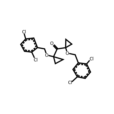 O=C(C1(OCc2cc(Cl)ccc2Cl)CC1)C1(OCc2cc(Cl)ccc2Cl)CC1